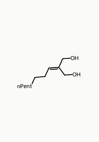 CCCCCCCC=C(CO)CO